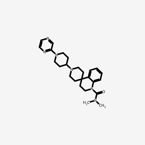 CN(C)C(=O)N1CCC2(CCN(C3CCN(c4cnccn4)CC3)CC2)c2ccccc21